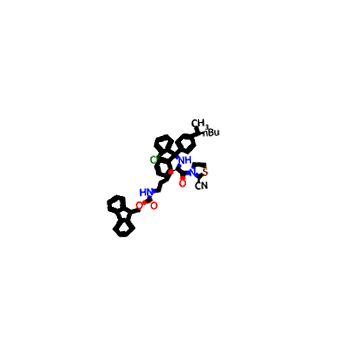 CCCC[C@H](C)c1ccc(C(N[C@@H](CCCCNC(=O)OCC2c3ccccc3-c3ccccc32)C(=O)N2CCS[C@H]2C#N)(c2ccccc2)c2ccccc2Cl)cc1